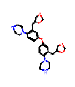 c1cc(N2CCNCC2)c(CC2COCO2)cc1Oc1ccc(N2CCNCC2)c(CC2COCO2)c1